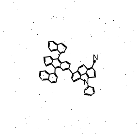 N#Cc1ccc2c3c1ccc1c(-c4ccc5c(-c6cccc7ccccc67)c6ccccc6c(-c6cccc7ccccc67)c5c4)ccc(c13)n2-c1ccccc1